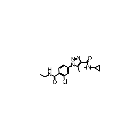 CCNC(=O)c1ccc(-n2nnc(C(=O)NC3CC3)c2C)cc1Cl